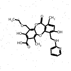 CCOCc1c(O)c(C(=O)O)c(C)c2c1OC(=O)c1c(C)cc(O)c(CNc3ccccn3)c1O2